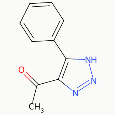 CC(=O)c1nn[nH]c1-c1ccccc1